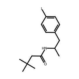 CC(Cc1ccc(I)cc1)NC(=O)CC(C)(C)C